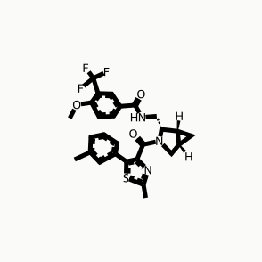 COc1ccc(C(=O)NC[C@@H]2[C@@H]3C[C@@H]3CN2C(=O)c2nc(C)sc2-c2cccc(C)c2)cc1C(F)(F)F